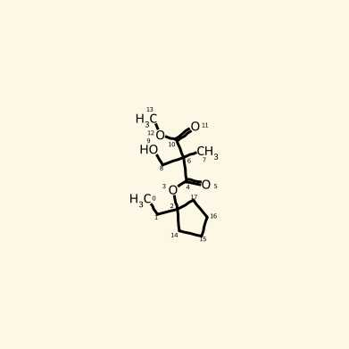 CCC1(OC(=O)C(C)(CO)C(=O)OC)CCCC1